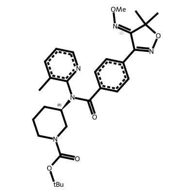 CO/N=C1/C(c2ccc(C(=O)N(c3ncccc3C)[C@@H]3CCCN(C(=O)OC(C)(C)C)C3)cc2)=NOC1(C)C